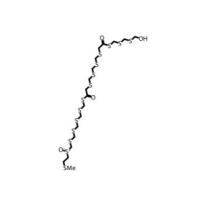 CSCC[S+]([O-])CSCSCSCSCSC(=O)CSCSCSCSCC(=O)SCSCSCO